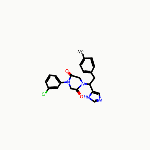 N#Cc1ccc(CC(c2cnc[nH]2)N2CC(=O)N(c3cccc(Cl)c3)CC2=O)cc1